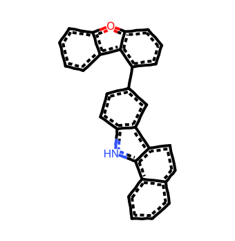 c1ccc2c(c1)ccc1c3cc(-c4cccc5oc6ccccc6c45)ccc3[nH]c21